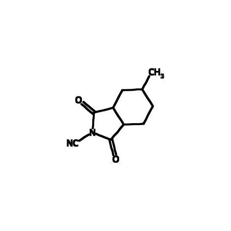 CC1CCC2C(=O)N(C#N)C(=O)C2C1